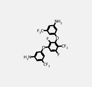 Nc1cc(Oc2cc(F)c(C(F)(F)F)c(Oc3cc(N)cc(C(F)(F)F)c3)c2F)cc(C(F)(F)F)c1